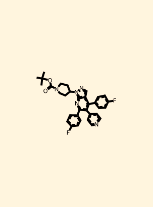 CC(C)(C)OC(=O)N1CCC(n2ncc3c(-c4ccc(F)cc4)c(-c4ccncc4)c(-c4ccc(F)cc4)nc32)CC1